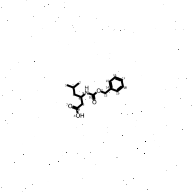 CC(C)CC(CC(=O)O)NC(=O)OCc1ccccc1